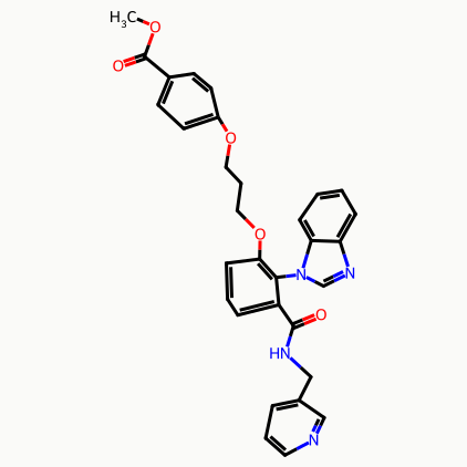 COC(=O)c1ccc(OCCCOc2cccc(C(=O)NCc3cccnc3)c2-n2cnc3ccccc32)cc1